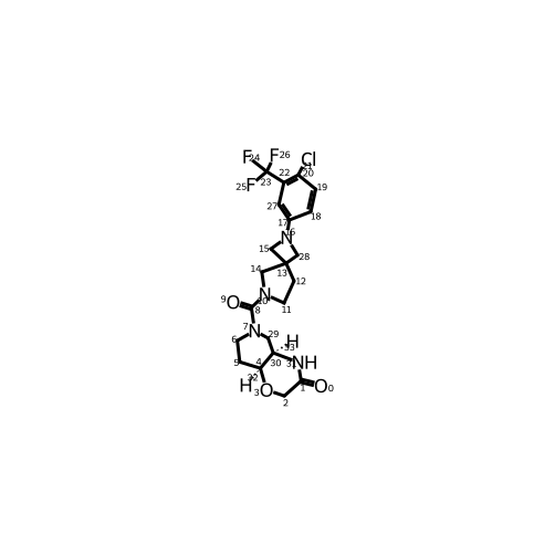 O=C1CO[C@H]2CCN(C(=O)N3CCC4(C3)CN(c3ccc(Cl)c(C(F)(F)F)c3)C4)C[C@H]2N1